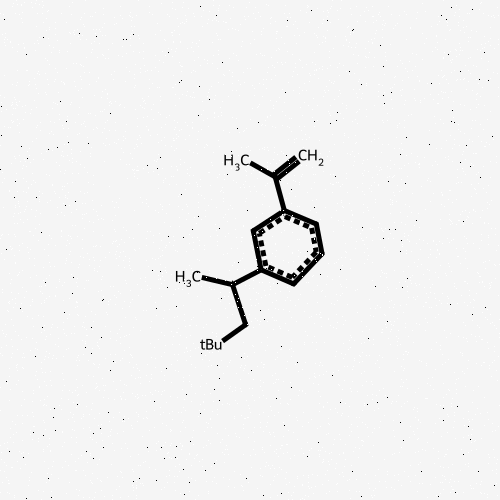 C=C(C)c1cccc([C](C)CC(C)(C)C)c1